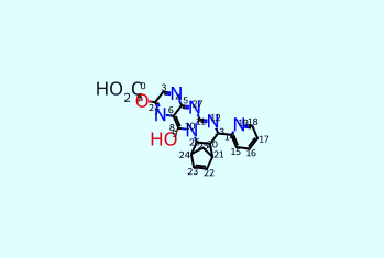 O=C(O)Oc1cnc2c(n1)=C(O)N1C(=NC(c3ccccn3)C3C4C=CC(C4)C31)N=2